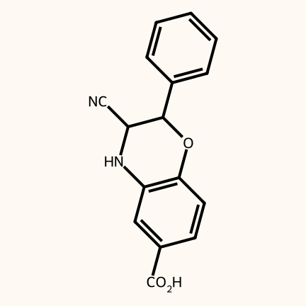 N#CC1Nc2cc(C(=O)O)ccc2OC1c1ccccc1